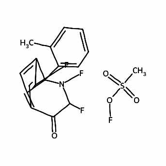 CS(=O)(=O)OF.Cc1ccccc1C12c3cc1c(cc3F)C(=O)C(F)N2F